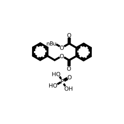 CCCCOC(=O)c1ccccc1C(=O)OCc1ccccc1.O=P(O)(O)O